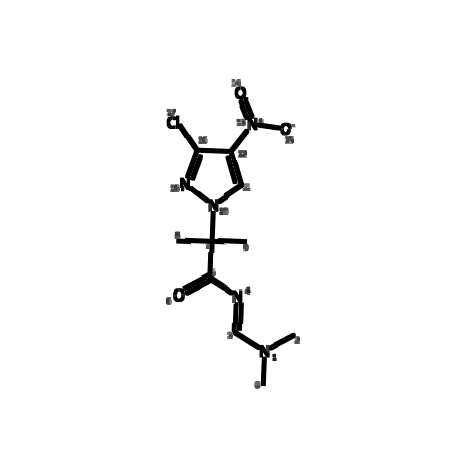 CN(C)C=NC(=O)C(C)(C)n1cc([N+](=O)[O-])c(Cl)n1